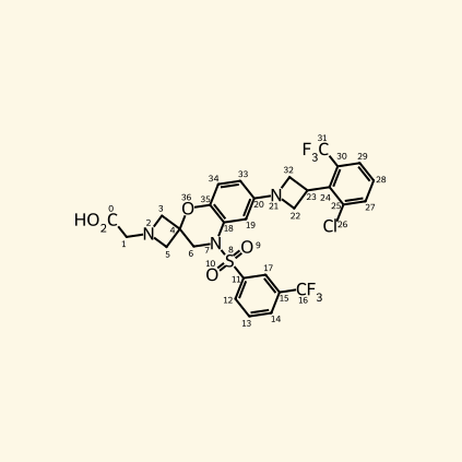 O=C(O)CN1CC2(C1)CN(S(=O)(=O)c1cccc(C(F)(F)F)c1)c1cc(N3CC(c4c(Cl)cccc4C(F)(F)F)C3)ccc1O2